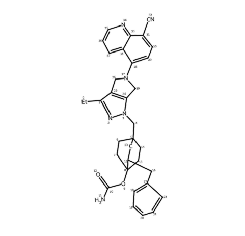 CCc1nn(CC23CCC(OC(N)=O)(CC2)C(Cc2ccccc2)C3)c2c1CN(c1ccc(C#N)c3ncccc13)C2